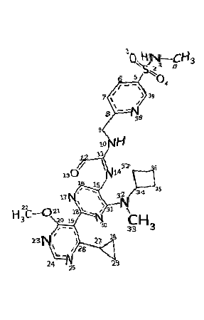 CNS(=O)(=O)c1ccc(CN/C(C=O)=N/c2cnc(-c3c(OC)ncnc3C3CC3)nc2N(C)C2CCC2)nc1